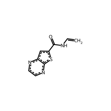 C=CNC(=O)c1cc2nccnc2s1